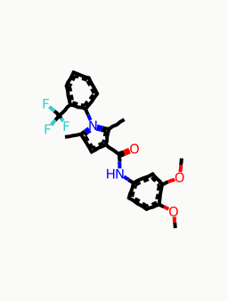 COc1ccc(NC(=O)c2cc(C)n(-c3ccccc3C(F)(F)F)c2C)cc1OC